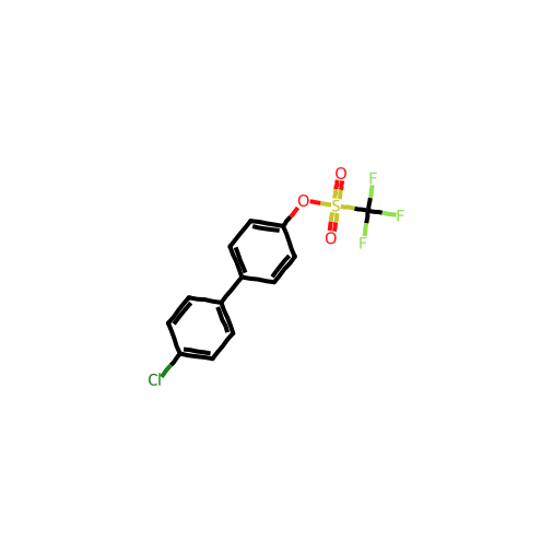 O=S(=O)(Oc1ccc(-c2ccc(Cl)cc2)cc1)C(F)(F)F